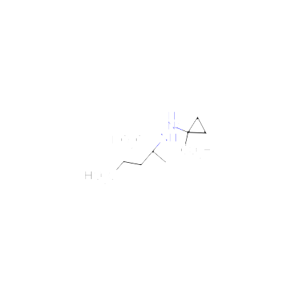 C[C@](N)(CCC(=O)O)C(=O)O.NC1(C(=O)O)CC1